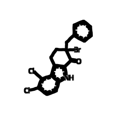 O=C1c2[nH]c3ccc(Cl)c(Cl)c3c2CCC1(Br)Cc1ccccc1